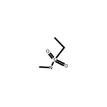 CCS(=O)(=O)[N]C